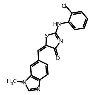 Cn1cnc2ccc(C=C3SC(Nc4ccccc4Cl)=NC3=O)cc21